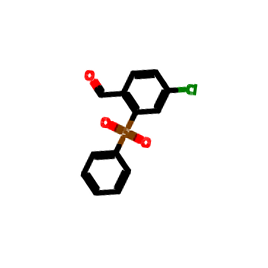 O=Cc1ccc(Cl)cc1S(=O)(=O)c1ccccc1